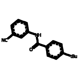 CC(C)(C)c1ccc(C(=O)Nc2cccc(C#N)c2)cc1